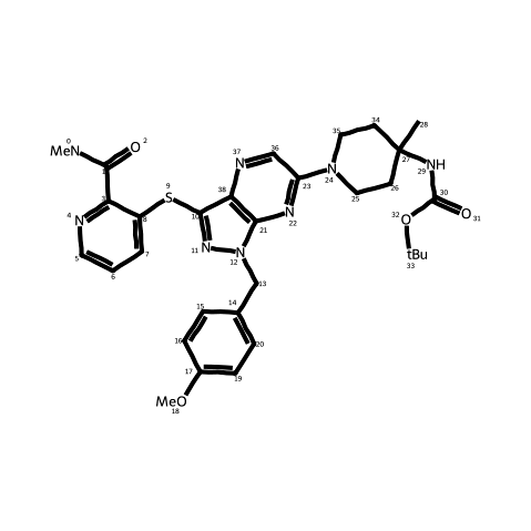 CNC(=O)c1ncccc1Sc1nn(Cc2ccc(OC)cc2)c2nc(N3CCC(C)(NC(=O)OC(C)(C)C)CC3)cnc12